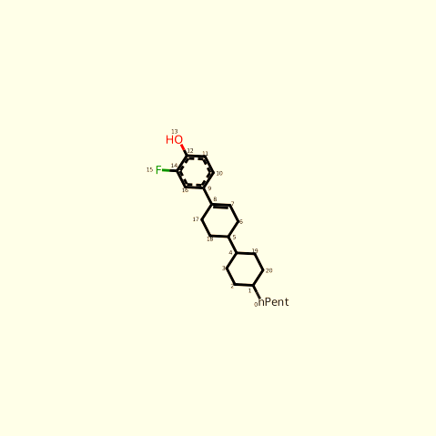 CCCCCC1CCC(C2CC=C(c3ccc(O)c(F)c3)CC2)CC1